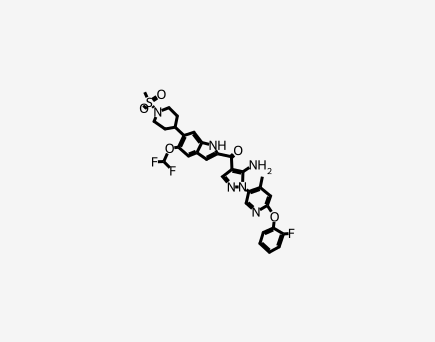 Cc1cc(Oc2ccccc2F)ncc1-n1ncc(C(=O)c2cc3cc(OC(F)F)c(C4CCN(S(C)(=O)=O)CC4)cc3[nH]2)c1N